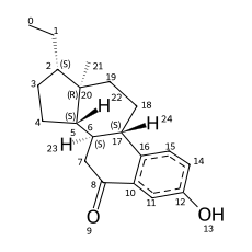 CC[C@H]1CC[C@H]2[C@@H]3CC(=O)c4cc(O)ccc4[C@H]3CC[C@]12C